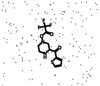 O=C(c1cccs1)C1CN(OC(=O)C(F)(F)F)CCN1